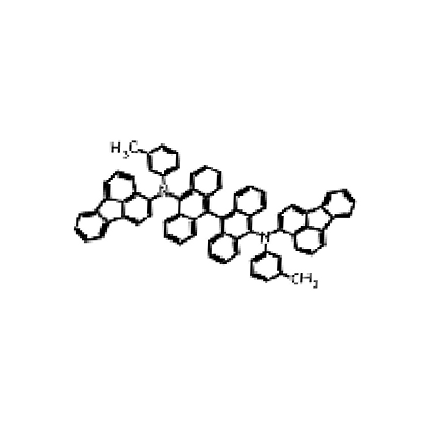 Cc1cccc(N(c2c3ccccc3c(-c3c4ccccc4c(N(c4cccc(C)c4)c4ccc5c6c(cccc46)-c4ccccc4-5)c4ccccc34)c3ccccc23)c2ccc3c4c(cccc24)-c2ccccc2-3)c1